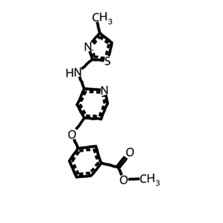 COC(=O)c1cccc(Oc2ccnc(Nc3nc(C)cs3)c2)c1